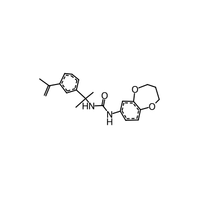 C=C(C)c1cccc(C(C)(C)NC(=O)Nc2ccc3c(c2)OCCCO3)c1